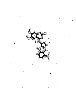 COc1cc2nc(Cl)nc(NC3CCN(Cc4c(OC)cccc4N(C)C)C3)c2cc1OC